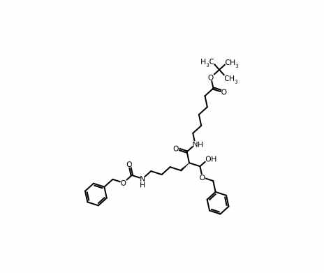 CC(C)(C)OC(=O)CCCCCNC(=O)[C@H](CCCCNC(=O)OCc1ccccc1)C(O)OCc1ccccc1